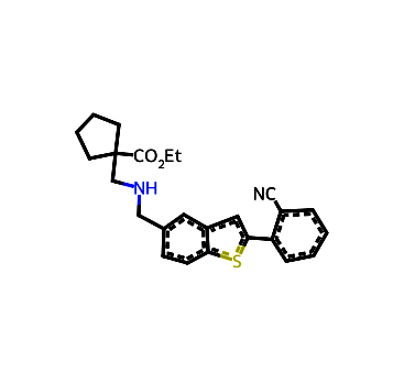 CCOC(=O)C1(CNCc2ccc3sc(-c4ccccc4C#N)cc3c2)CCCC1